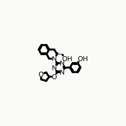 OC[C@H]1Cc2ccccc2CN1c1nc(OC2CCOC2)nc(-c2cccc(O)c2)n1